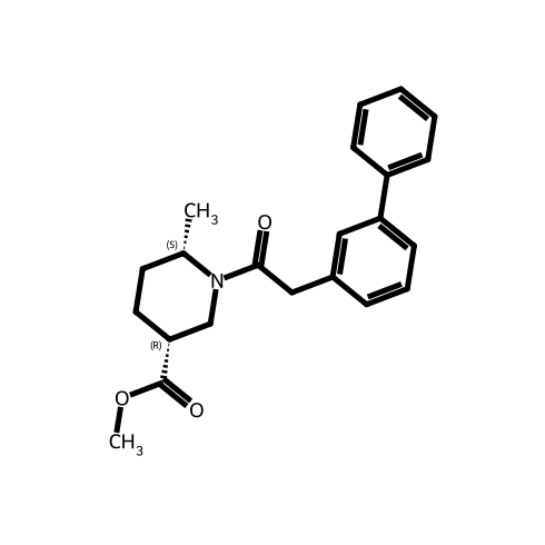 COC(=O)[C@@H]1CC[C@H](C)N(C(=O)Cc2cccc(-c3ccccc3)c2)C1